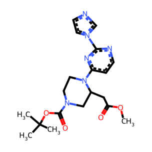 COC(=O)CC1CN(C(=O)OC(C)(C)C)CCN1c1ccnc(-n2ccnc2)n1